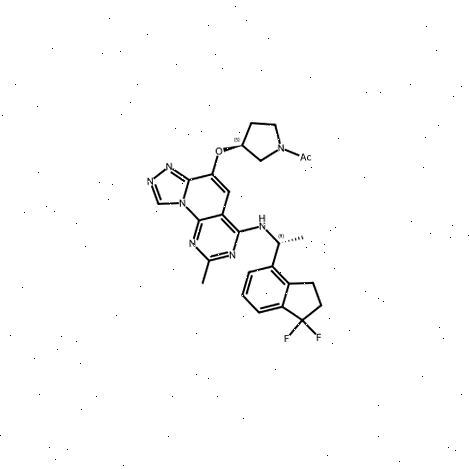 CC(=O)N1CC[C@H](Oc2cc3c(N[C@H](C)c4cccc5c4CCC5(F)F)nc(C)nc3n3cnnc23)C1